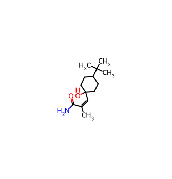 CC(=CC1(O)CCC(C(C)(C)C)CC1)C(N)=O